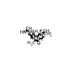 CC(=N)NCc1cn([C@@H](C)C(=O)N2CCN(C(C)(C)C)CC2)nn1